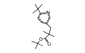 CC(C)(C)OC(=O)C(C)(C)Cc1ccc(C(C)(C)C)nc1